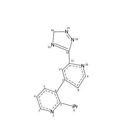 CC(C)c1ncccc1-c1ccnc(C2=NCN=N2)c1